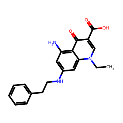 CCn1cc(C(=O)O)c(=O)c2c(N)cc(NCCc3ccccc3)cc21